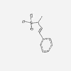 CC(/C=C/c1ccccc1)[Si](Cl)(Cl)Cl